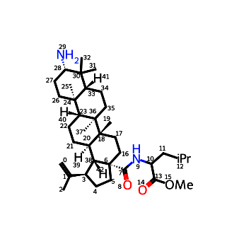 C=C(C)[C@@H]1CC[C@]2(C(=O)NC(CC(C)C)C(=O)OC)CC[C@]3(C)[C@H](CC[C@@H]4[C@@]5(C)CC[C@H](N)C(C)(C)[C@@H]5CC[C@]43C)[C@@H]12